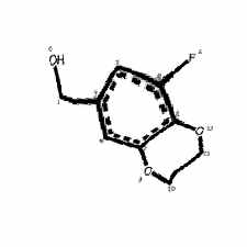 OCc1cc(F)c2c(c1)OCCO2